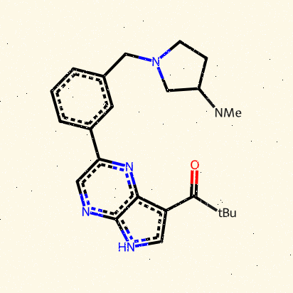 CNC1CCN(Cc2cccc(-c3cnc4[nH]cc(C(=O)C(C)(C)C)c4n3)c2)C1